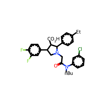 CCCCN(C(=O)CN1CC(c2ccc(F)c(F)c2)C(C(=O)O)C1c1ccc(CC)cc1)c1cccc(Cl)c1